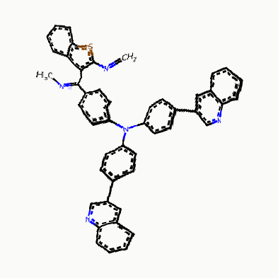 C=Nc1sc2ccccc2c1/C(=N\C)c1ccc(N(c2ccc(-c3cnc4ccccc4c3)cc2)c2ccc(-c3cnc4ccccc4c3)cc2)cc1